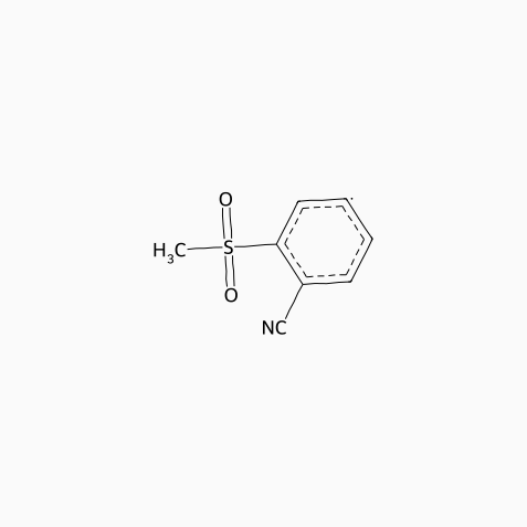 CS(=O)(=O)c1c[c]ccc1C#N